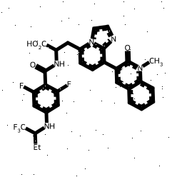 CCC(Nc1cc(F)c(C(=O)NC(Cc2ccc(-c3cc4ccccc4n(C)c3=O)c3nccn23)C(=O)O)c(F)c1)C(F)(F)F